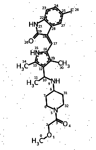 COCC(=O)N1CCC(NC(C)c2c(C)[nH]c(/C=C3\C(=O)Nc4ccc(F)cc43)c2C)CC1